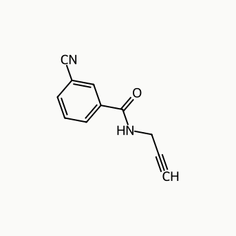 C#CCNC(=O)c1cccc(C#N)c1